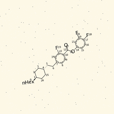 CCCCCC[C@H]1CC[C@H](CCc2ccc(C(=O)Oc3ccc(F)c(F)c3)c(F)c2)CC1